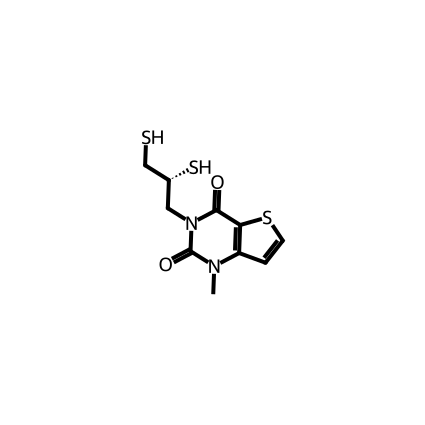 Cn1c(=O)n(C[C@@H](S)CS)c(=O)c2sccc21